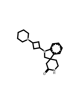 O=C1CC2(CCN1)CN(C1CC(N3CCCCC3)C1)c1ccccc12